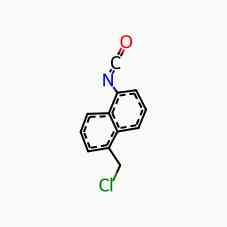 O=C=Nc1cccc2c(CCl)cccc12